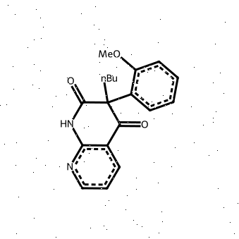 CCCCC1(c2ccccc2OC)C(=O)Nc2ncccc2C1=O